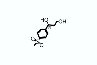 CS(=O)(=O)c1ccc([C@@H](O)CCO)cc1